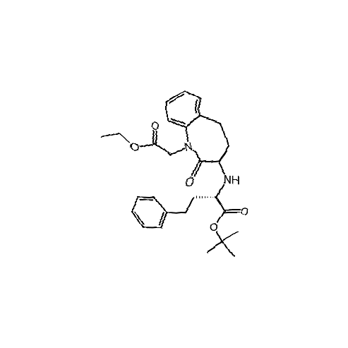 CCOC(=O)CN1C(=O)C(N[C@@H](CCc2ccccc2)C(=O)OC(C)(C)C)CCc2ccccc21